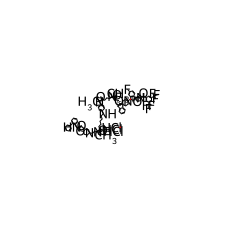 CN(CCN1CCC(OC(=O)Nc2ccccc2-c2ccccc2)CC1)C(=O)CCCCCNc1ccc(N(C)C(=O)CCCN(C)C(=O)CO[C@H]2Cc3ccccc3C23CCN(CC[C@@]2(c4ccc(F)cc4)CN(C(=O)c4cc(C(F)(F)F)cc(C(F)(F)F)c4)CO2)CC3)cc1.Cl.Cl.Cl